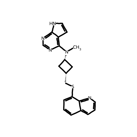 CN(c1ncnc2[nH]ccc12)[C@H]1C[C@@H](CSc2cccc3cccnc23)C1